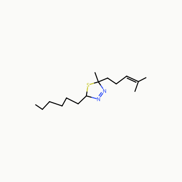 CCCCCCC1N=NC(C)(CCC=C(C)C)S1